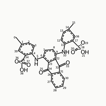 Cc1ccc(Nc2ccc(Nc3ccc(C)cc3S(=O)(=O)O)c3c2C(=O)c2ccccc2C3=O)c(S(=O)(=O)O)c1